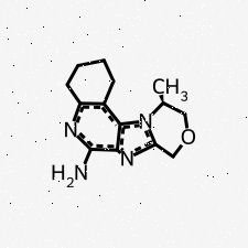 C[C@H]1COCc2nc3c(N)nc4c(c3n21)CCCC4